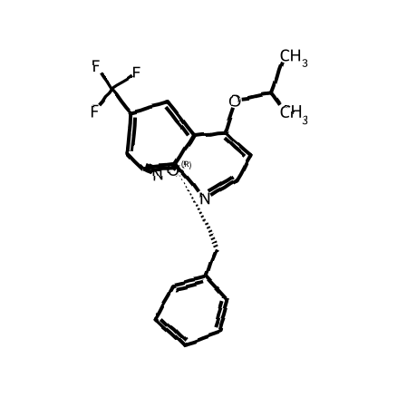 CC(C)OC1=CC=NC23O[C@H](Cc4ccccc4)CN=C2C=C(C(F)(F)F)C=C13